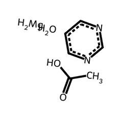 CC(=O)O.O.[MgH2].c1cncnc1